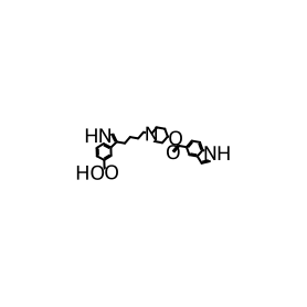 O=C(O)c1ccc2[nH]cc(CCCCN3CCC(OC(=O)c4ccc5[nH]ccc5c4)CC3)c2c1